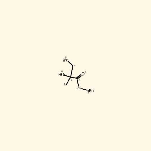 CCCCOC(=O)C(C)(O)CC(C)C